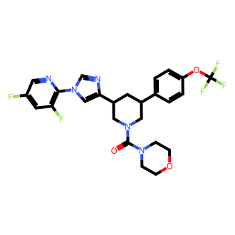 O=C(N1CCOCC1)N1CC(c2ccc(OC(F)(F)F)cc2)CC(c2cn(-c3ncc(F)cc3F)cn2)C1